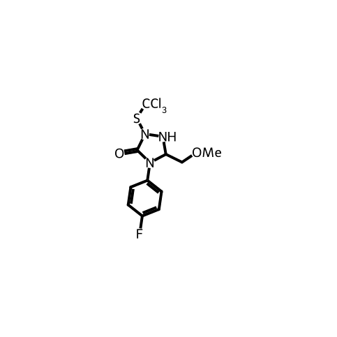 COCC1NN(SC(Cl)(Cl)Cl)C(=O)N1c1ccc(F)cc1